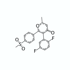 Cc1cc(=O)c(-c2cc(F)ccc2F)c(-c2ccc(S(C)(=O)=O)cc2)o1